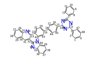 c1ccc(-c2nc(-c3ccccc3)nc(-c3ccc(-c4ccc5c6nc7ccccc7cc6c6nc7ccccc7n6c5c4)cc3)n2)cc1